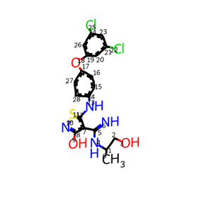 CC(CO)NC(=N)c1c(O)nsc1Nc1ccc(Oc2cc(Cl)cc(Cl)c2)cc1